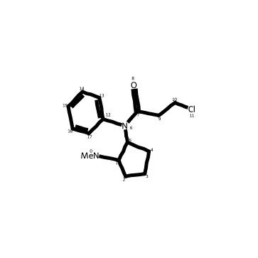 CNC1CCCC1N(C(=O)CCCl)c1ccccc1